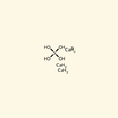 O[Si](O)(O)O.[CaH2].[CaH2].[CaH2].[Ti]